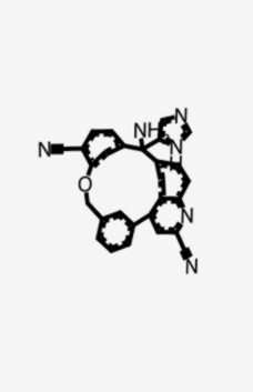 N#Cc1cc2c3cc(ccc3n1)C(N)(c1cnc[nH]1)c1ccc(C#N)c(c1)OCc1cccc-2c1